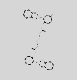 Cc1ccc(OC(=O)CCCCC(=O)Oc2ccc(C)cc2-n2nc3ccccc3n2)c(-n2nc3ccccc3n2)c1